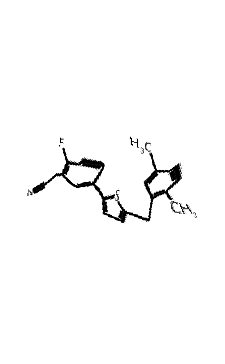 Cc1ccc(C)c(Cc2ccc(-c3ccc(F)c(C#N)c3)s2)c1